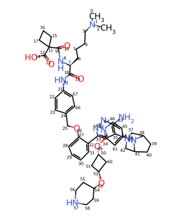 CN(C)CCCC[C@H](NC(=O)C1(C(=O)O)CCC1)C(=O)Nc1ccc(COc2ccccc2-c2cc(N3CC4CCC(C3)N4c3ccnc(O[C@H]4C[C@H](OC5CCNCC5)C4)c3)c(N)nn2)cc1